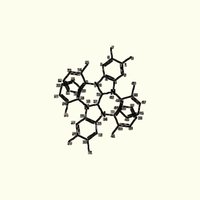 Cc1cc2c(cc1C)N(c1ccccc1C)C(C1N(c3ccccc3C)c3cc(C)c(C)cc3N1c1ccccc1C)N2c1ccccc1C